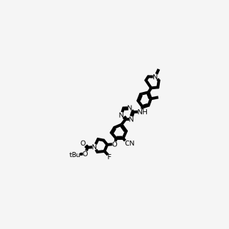 Cc1cc(Nc2ncnc(-c3ccc(OC4CCN(C(=O)OC(C)(C)C)CC4F)c(C#N)c3)n2)ccc1C1CCN(C)CC1